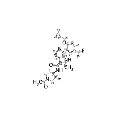 CC(=O)N1CC[C@@H](NC(=O)c2c(C)[nH]c3c(-c4cc(C(F)F)ccc4OCC4CC4)ncnc23)[C@H](F)C1